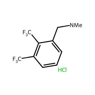 CNCc1cccc(C(F)(F)F)c1C(F)(F)F.Cl